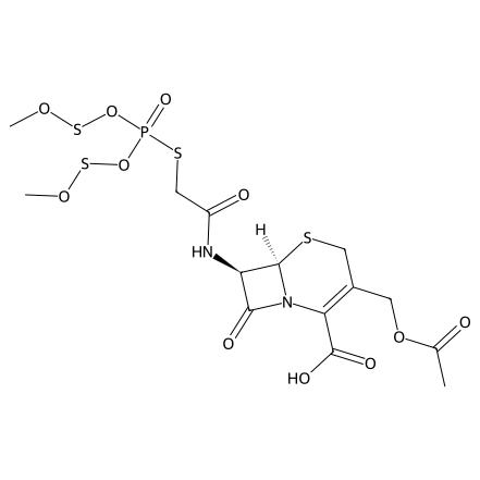 COSOP(=O)(OSOC)SCC(=O)N[C@@H]1C(=O)N2C(C(=O)O)=C(COC(C)=O)CS[C@H]12